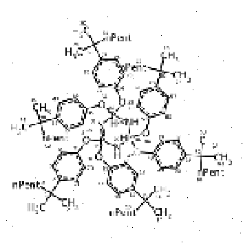 CCCCCC(C)(C)c1ccc(OP2(Oc3ccc(C(C)(C)CCCCC)cc3)=N[PH](Oc3ccc(C(C)(C)CCCCC)cc3)(Oc3ccc(C(C)(C)CCCCC)cc3)N[PH](Oc3ccc(C(C)(C)CCCCC)cc3)(Oc3ccc(C(C)(C)CCCCC)cc3)N2)cc1